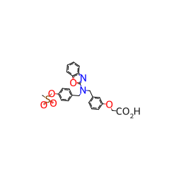 CS(=O)(=O)Oc1ccc(CN(Cc2cccc(OCC(=O)O)c2)c2nc3ccccc3o2)cc1